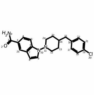 NC(=O)c1ccc2c(ccn2N2CCC(Cc3ccc(Cl)cc3)CC2)c1